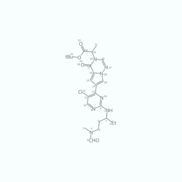 CCC(CCN(C)C=O)Nc1ncc(Cl)c(-c2cc3c(=O)n(C(C)C(=O)OC(C)(C)C)cnn3c2)n1